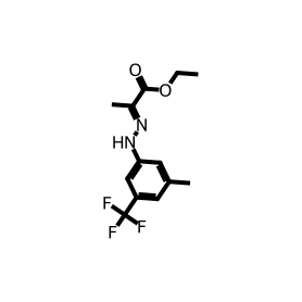 CCOC(=O)/C(C)=N/Nc1cc(C)cc(C(F)(F)F)c1